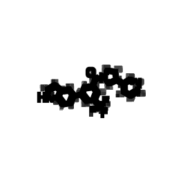 O=C(c1cc(-c2ccc3[nH]ccc3c2)cc(C(F)(F)F)c1)N1CCC(c2cccnc2)C1